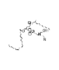 C=C(CCCCCCC/C=C\C/C=C\CCCCC)OCC(CCC(=O)CCC(C)CCCCCCCCC)COC(=O)OCCCN(CCO)CCC#N